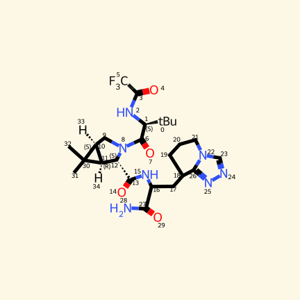 CC(C)(C)[C@H](NC(=O)C(F)(F)F)C(=O)N1C[C@H]2[C@@H]([C@H]1C(=O)NC(CC1CCCn3cnnc31)C(N)=O)C2(C)C